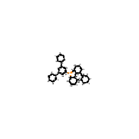 c1ccc(-c2cc(-c3ccccc3)cc(-p3c4cccc5c6ccccc6c6cccc3c6c54)c2)cc1